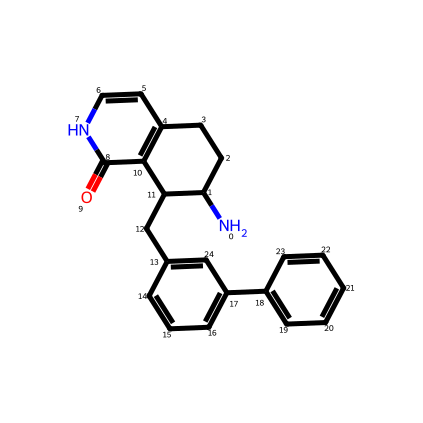 NC1CCc2cc[nH]c(=O)c2C1Cc1cccc(-c2ccccc2)c1